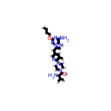 CCCCOc1nc(N)c2ncc(Cc3cnc(N4CCN(C(=O)[C@@H](N)C(C)C)CC4)c(C)c3)n2n1